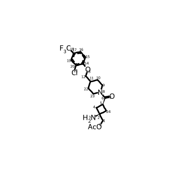 CC(=O)OC[C@]1(N)C[C@@H](C(=O)N2CCC(COc3ccc(C(F)(F)F)cc3Cl)CC2)C1